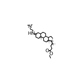 CCOC(=O)CC[C@@H](C)[C@H]1CCC2C3CCC4C[C@H](NCCN(C)C)CC[C@]4(C)C3CC[C@@]21C